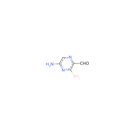 Bc1nc(N)cnc1C=O